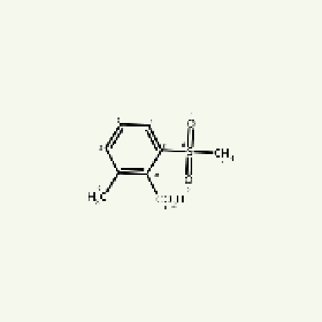 Cc1cccc(S(C)(=O)=O)c1C(=O)O